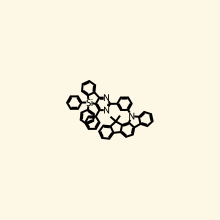 CC1(C)c2ccccc2-c2ccc3c4ccccc4n(-c4cccc(-c5nc(-c6ccccc6)c6c(n5)-c5ccccc5[Si]6(c5ccccc5)c5ccccc5)c4)c3c21